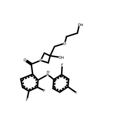 O=C(c1ccc(F)c(F)c1Nc1ccc(I)cc1F)N1CC(O)(COCCO)C1